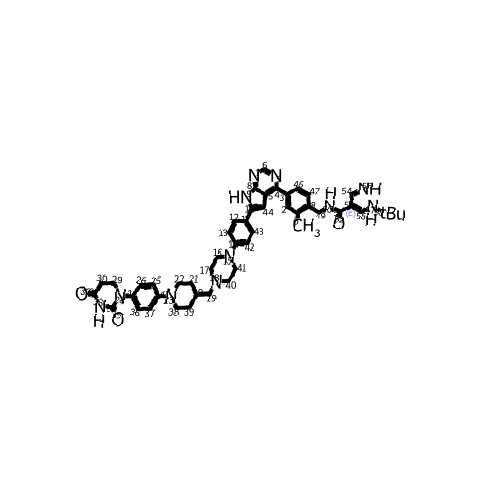 Cc1cc(-c2ncnc3[nH]c(-c4ccc(N5CCN(CC6CCN(c7ccc(N8CCC(=O)NC8=O)cc7)CC6)CC5)cc4)cc23)ccc1CNC(=O)/C(C=N)=C/NC(C)(C)C